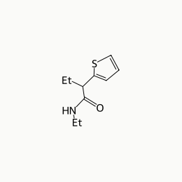 CCNC(=O)C(CC)c1cccs1